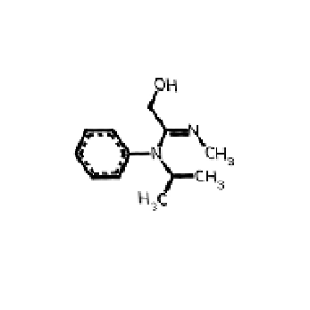 C/N=C(/CO)N(c1ccccc1)C(C)C